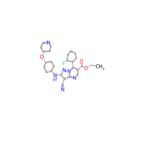 CCOC(=O)c1cnc2c(C#N)c(Nc3ccc(Oc4ccncc4)cc3)nn2c1-c1ccccc1F